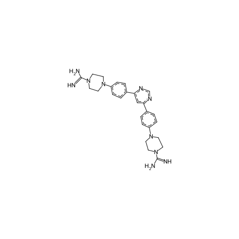 N=C(N)N1CCN(c2ccc(-c3cc(-c4ccc(N5CCN(C(=N)N)CC5)cc4)ncn3)cc2)CC1